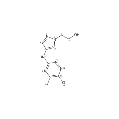 Cc1nc(Nc2cnn(CCO)c2)nnc1Cl